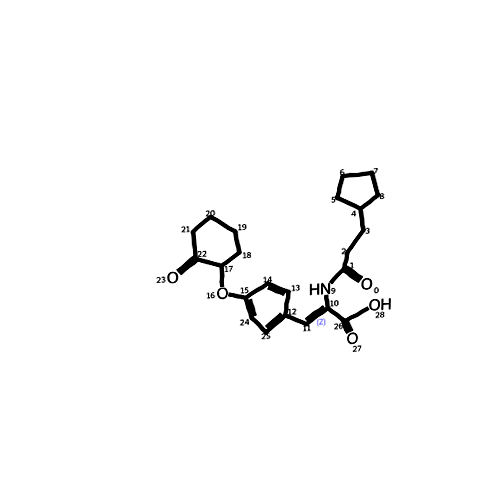 O=C(CCC1CCCC1)N/C(=C\c1ccc(OC2CCCCC2=O)cc1)C(=O)O